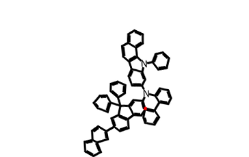 c1ccc(-c2ccccc2N(c2ccc3c(c2)C(c2ccccc2)(c2ccccc2)c2cc(-c4ccc5ccccc5c4)ccc2-3)c2ccc3c4ccc5ccccc5c4n(-c4ccccc4)c3c2)cc1